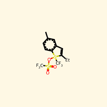 CCC1=Cc2cc(C)ccc2S1(OS(=O)(=O)C(F)(F)F)C(F)(F)F